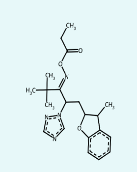 CCC(=O)ON=C(C(CC1Oc2ccccc2C1C)n1cncn1)C(C)(C)C